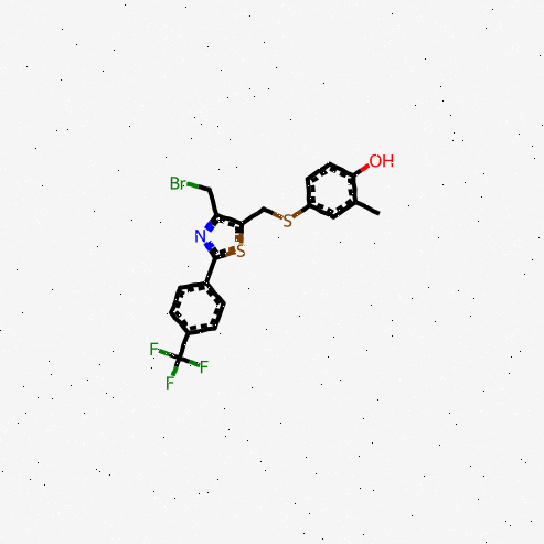 Cc1cc(SCc2sc(-c3ccc(C(F)(F)F)cc3)nc2CBr)ccc1O